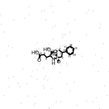 CC(CP(=O)(O)NC(CCC(=O)O)C(=O)O)c1ccccc1